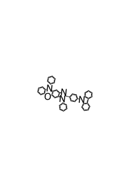 c1ccc(N2c3ccccc3Oc3cc4c(cc32)nc(-c2ccc(-n3c5ccccc5c5ccccc53)cc2)n4-c2ccccc2)cc1